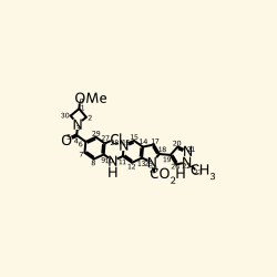 COC1CN(C(=O)c2ccc(Nc3cc4c(cn3)cc(-c3cnn(C)c3)n4C(=O)O)c(Cl)c2)C1